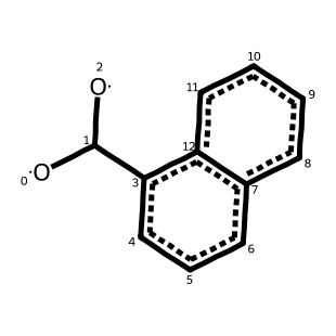 [O]C([O])c1cccc2ccccc12